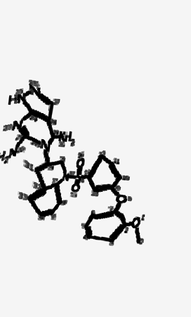 COc1ccccc1Oc1cccc(S(=O)(=O)N2CC(N3C(N)=Nc4[nH]ncc4C3N)Cc3ccccc32)c1